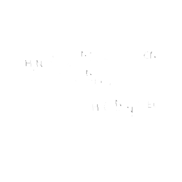 CCc1cc(C(=O)c2cc(C#N)ccc2-c2ncc(CCN)cn2)n(C)n1